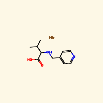 Br.CC(C)[C@@H](NCc1ccncc1)C(=O)O